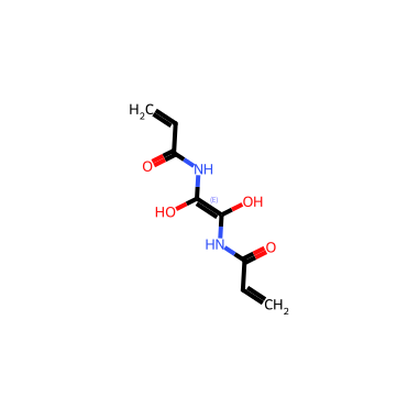 C=CC(=O)N/C(O)=C(\O)NC(=O)C=C